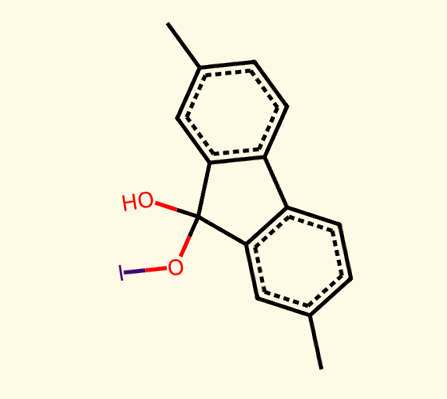 Cc1ccc2c(c1)C(O)(OI)c1cc(C)ccc1-2